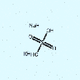 O=S(=O)(O)O.[KH].[NaH]